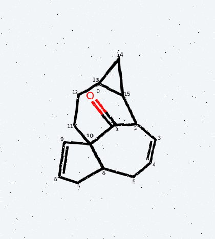 O=C1C2C=CCC3CC=CC13CCC1CC12